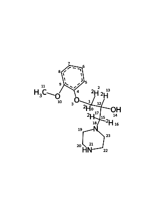 [2H]C([2H])(Oc1ccccc1OC)C([2H])(O)C([2H])([2H])N1CCNCC1